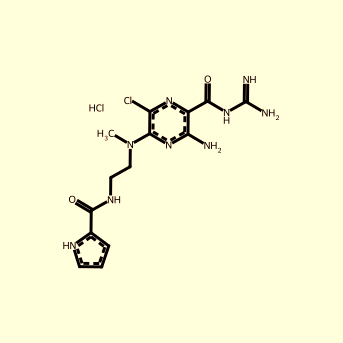 CN(CCNC(=O)c1ccc[nH]1)c1nc(N)c(C(=O)NC(=N)N)nc1Cl.Cl